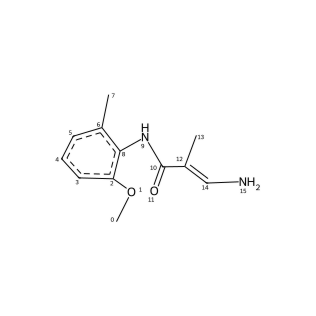 COc1cccc(C)c1NC(=O)/C(C)=C/N